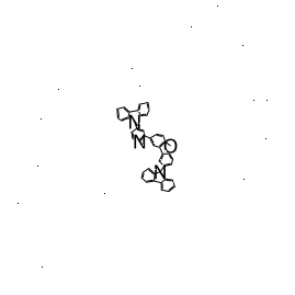 c1ccc2c(c1)c1ccccc1n2-c1ccnc(-c2ccc3oc4ccc(-n5c6ccccc6c6ccccc65)cc4c3c2)c1